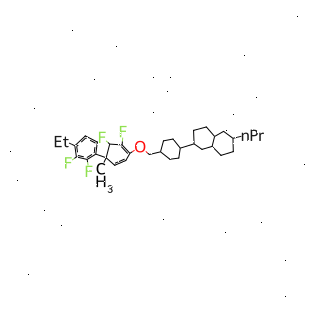 CCCC1CCC2CC(C3CCC(COC4=C(F)C(F)C(C)(c5ccc(CC)c(F)c5F)C=C4)CC3)CCC2C1